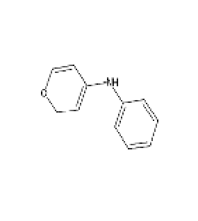 C1=CC(Nc2ccccc2)=CCO1